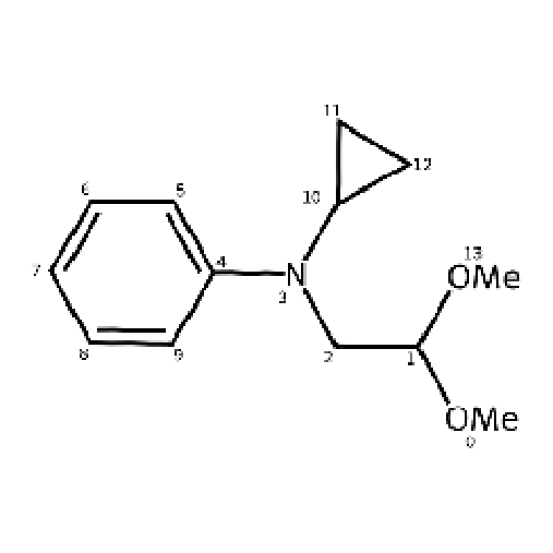 COC(CN(c1ccccc1)C1CC1)OC